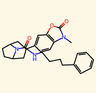 Cn1c(=O)oc2cc(C3CC4CCC(C3)N4C(=O)NCCCCc3ccccc3)ccc21